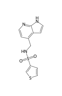 O=S(=O)(NCc1ccnc2[nH]ccc12)c1ccsc1